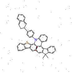 CC1(C)c2ccccc2-c2c(-c3ccccc3N(c3ccc(C4C=c5ccccc5=CC4)cc3)c3cccc4c3sc3ccccc34)cccc21